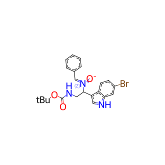 CC(C)(C)OC(=O)NCC(c1c[nH]c2cc(Br)ccc12)/[N+]([O-])=C/c1ccccc1